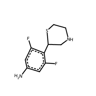 Nc1cc(F)c(C2CNCCS2)c(F)c1